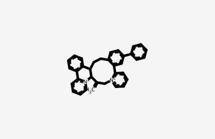 C=C1C[n+]2ccccc2-c2cc(-c3ccccc3)ccc2CCC2c3ccccc3-c3cccc[n+]3C12